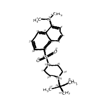 CN(C)c1cccc2c(S(=O)(=O)N3CCN(C(C)(C)C)CC3)cccc12